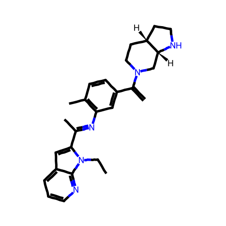 C=C(c1ccc(C)c(/N=C(\C)c2cc3cccnc3n2CC)c1)N1CC[C@@H]2CCN[C@@H]2C1